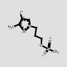 Cc1nn(CCCOS(C)(=O)=O)cc1I